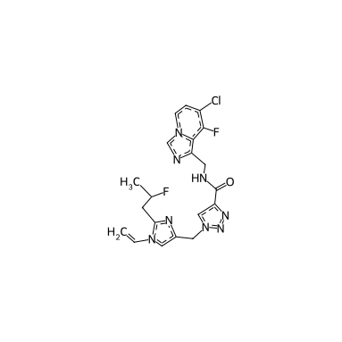 C=Cn1cc(Cn2cc(C(=O)NCc3ncn4ccc(Cl)c(F)c34)nn2)nc1CC(C)F